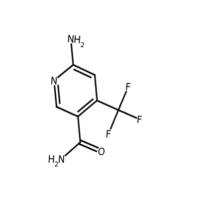 NC(=O)c1cnc(N)cc1C(F)(F)F